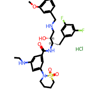 CCNc1cc(C(=O)N[C@@H](Cc2cc(F)cc(F)c2)[C@H](O)CNCc2cccc(OC)c2)cc(N2CCCCS2(=O)=O)c1.Cl